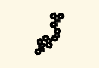 c1ccc(-c2ccccc2Nc2cccc(-c3ccc4sc5ccc(-n6c7ccccc7c7c(-n8c9ccccc9n9c%10ccccc%10nc89)cccc76)cc5c4c3)n2)cc1